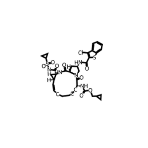 O=C(N[C@H]1CCCCC/C=C\[C@@H]2C[C@@]2(C(=O)NS(=O)(=O)C2CC2)NC(=O)[C@@H]2C[C@@H](NC(=O)c3sc4ccccc4c3Cl)CN2C1=O)OCC1CC1